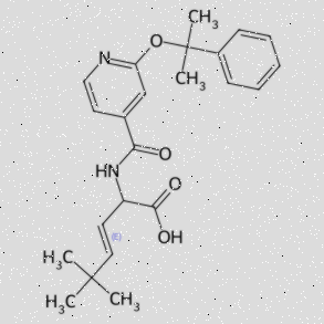 CC(C)(C)/C=C/C(NC(=O)c1ccnc(OC(C)(C)c2ccccc2)c1)C(=O)O